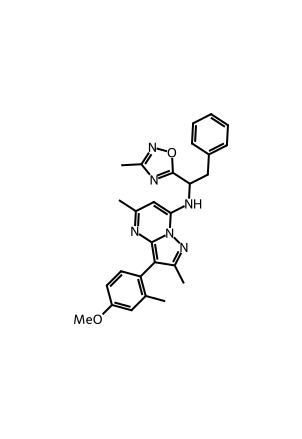 COc1ccc(-c2c(C)nn3c(NC(Cc4ccccc4)c4nc(C)no4)cc(C)nc23)c(C)c1